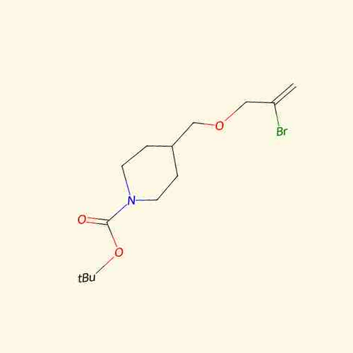 C=C(Br)COCC1CCN(C(=O)OC(C)(C)C)CC1